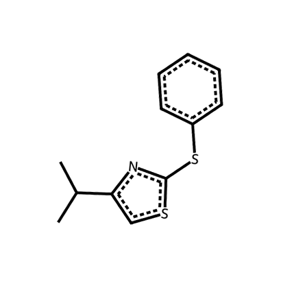 CC(C)c1csc(Sc2ccccc2)n1